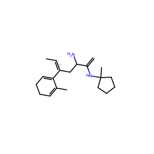 C=C(NC1(C)CCCC1)C(N)C/C(=C/C)C1=CCCC=C1C